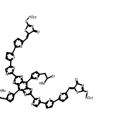 CCCCCCCCSC1=NC(=O)/C(=C/c2ccc(-c3ccc(-c4cnc(-c5nc6c(-c7ccc(CC(CC)CCCC)s7)c7sc(-c8ncc(-c9ccc(-c%10ccc(/C=C%11\SC(SCCCCCCCC)=NC%11=O)s%10)s9)s8)nc7c(-c7ccc(CC(CC)CCCC)s7)c6s5)s4)s3)s2)S1